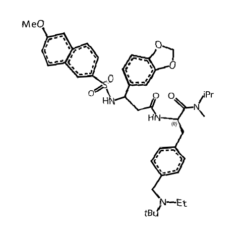 CCN(Cc1ccc(C[C@@H](NC(=O)CC(NS(=O)(=O)c2ccc3cc(OC)ccc3c2)c2ccc3c(c2)OCO3)C(=O)N(C)C(C)C)cc1)C(C)(C)C